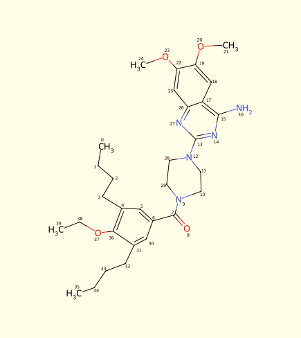 CCCCc1cc(C(=O)N2CCN(c3nc(N)c4cc(OC)c(OC)cc4n3)CC2)cc(CCCC)c1OCC